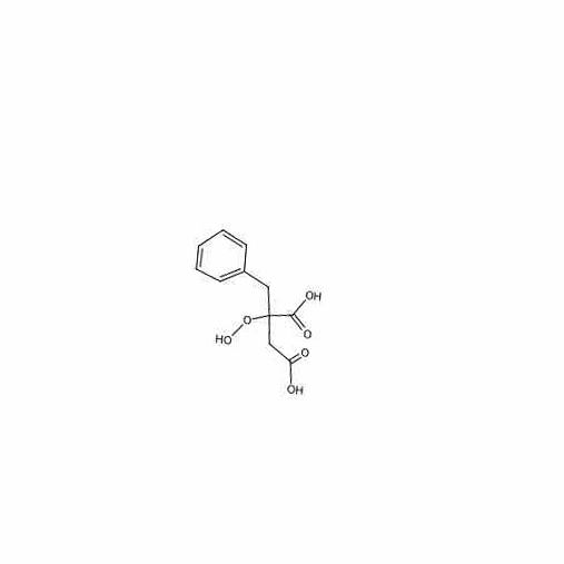 O=C(O)CC(Cc1ccccc1)(OO)C(=O)O